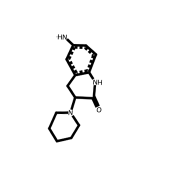 [NH]c1ccc2c(c1)CC(N1CCCCC1)C(=O)N2